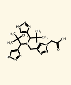 CC(C)(C)C(c1c[nH]nn1)N(Cc1cn(CC(=O)O)nn1)C(c1c[nH]nn1)C(C)(C)C